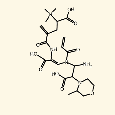 C=CC(=O)N(C=C(NC(=O)C(=C)CC(C(=O)O)[N+](C)(C)C)C(=O)O)C(N)C(C(=O)O)N1CCOCC1C